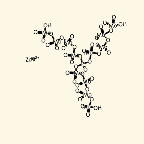 O=P([O][Mo](=[O])(=[O])[O][Mo](=[O])(=[O])[O][Mo](=[O])(=[O])[O][Mo](=[O])(=[O])[OH])([O][Mo](=[O])(=[O])[O][Mo](=[O])(=[O])[O][Mo](=[O])(=[O])[O][Mo](=[O])(=[O])[OH])[O][Mo](=[O])(=[O])[O][Mo](=[O])(=[O])[O][Mo](=[O])(=[O])[O][Mo](=[O])(=[O])[OH].[Al+3].[Zn+2]